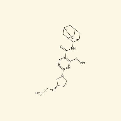 CCCSc1nc(N2CC[C@@H](OCC(=O)O)C2)ccc1C(=O)NC1C2CC3CC(C2)CC1C3